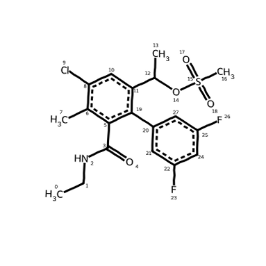 CCNC(=O)c1c(C)c(Cl)cc(C(C)OS(C)(=O)=O)c1-c1cc(F)cc(F)c1